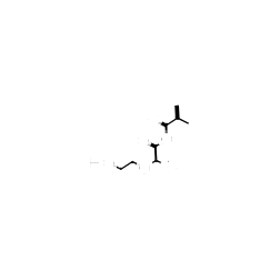 C=C(C)C(=O)OC(=O)C(OCCO)C(C)=O